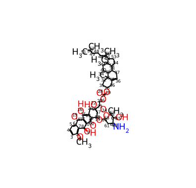 COc1cccc2c1C(=O)c1c(O)c3c(c(O)c1C2=O)CC(O)(C(=O)COC(=O)OC1CCC2(C)C(=CCC4C2CCC2(C)C(C(C)CCCC(C)C)CCC42)C1)CC3OC1CC(N)C(O)C(C)O1